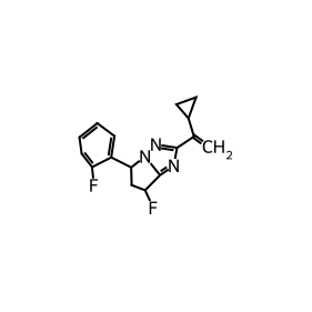 C=C(c1nc2n(n1)C(c1ccccc1F)CC2F)C1CC1